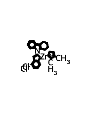 CC1=CC[C]([Zr+2][CH]2C(n3c4c(c5ccccc53)CCCC4)=Cc3ccccc32)=C1C.[Cl-].[Cl-]